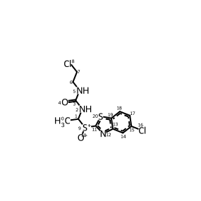 CC(NC(=O)NCCCl)[S+]([O-])c1nc2cc(Cl)ccc2s1